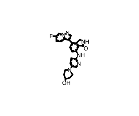 O=C1NCc2c(-c3cnn4cc(F)ccc34)ccc(Nc3ccc(N4CCC(O)CC4)cn3)c21